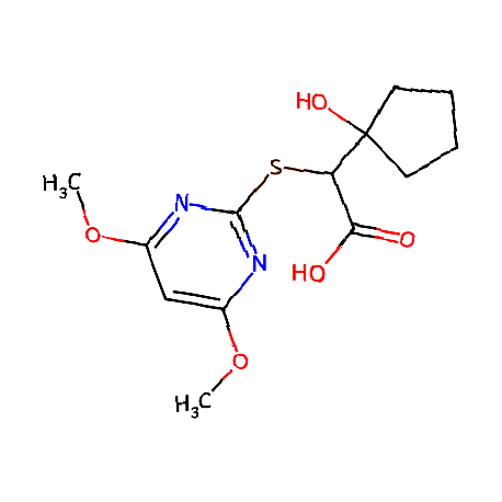 COc1cc(OC)nc(SC(C(=O)O)C2(O)CCCC2)n1